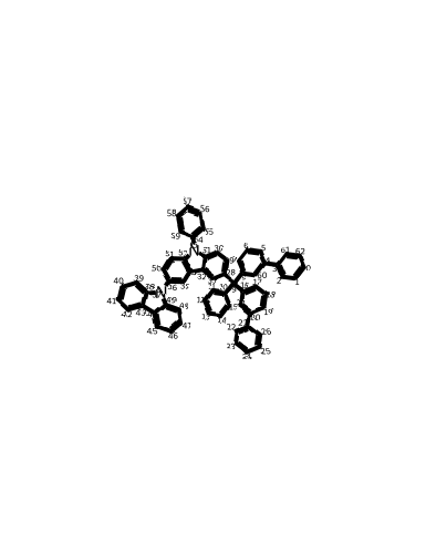 c1ccc(-c2cccc(C(c3ccccc3)(c3cccc(-c4ccccc4)c3)c3ccc4c(c3)c3cc(-n5c6ccccc6c6ccccc65)ccc3n4-c3ccccc3)c2)cc1